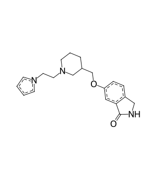 O=C1NCc2ccc(OCC3CCCN(CCn4cccc4)C3)cc21